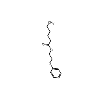 [CH2]CCCCC(=O)OCCOc1ccccc1